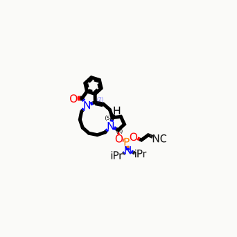 [C-]#[N+]CCOP(O[C@@H]1CC[C@H]2C/C=C3/c4ccccc4C(=O)N3CCCCCCN21)N(C(C)C)C(C)C